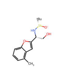 Cc1cccc2oc([C@@H](CO)N[S@@+]([O-])C(C)(C)C)cc12